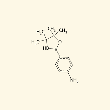 CC1(C)BB(c2ccc(N)cc2)OC1(C)C